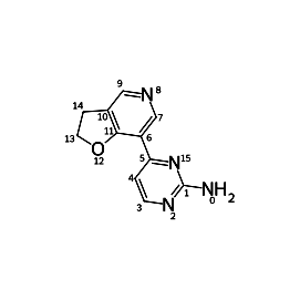 Nc1nccc(-c2cncc3c2OCC3)n1